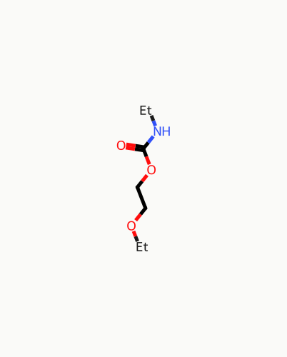 [CH2]COCCOC(=O)NCC